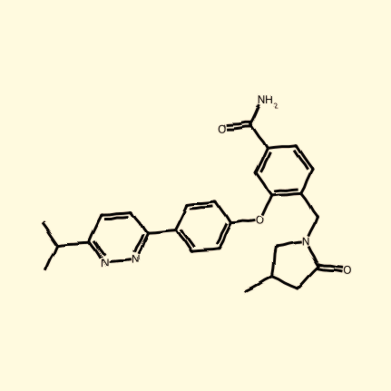 CC1CC(=O)N(Cc2ccc(C(N)=O)cc2Oc2ccc(-c3ccc(C(C)C)nn3)cc2)C1